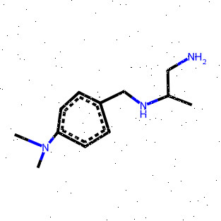 CC(CN)NCc1ccc(N(C)C)cc1